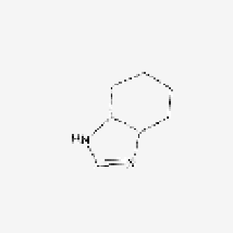 [C]1=NC2CCCCC2N1